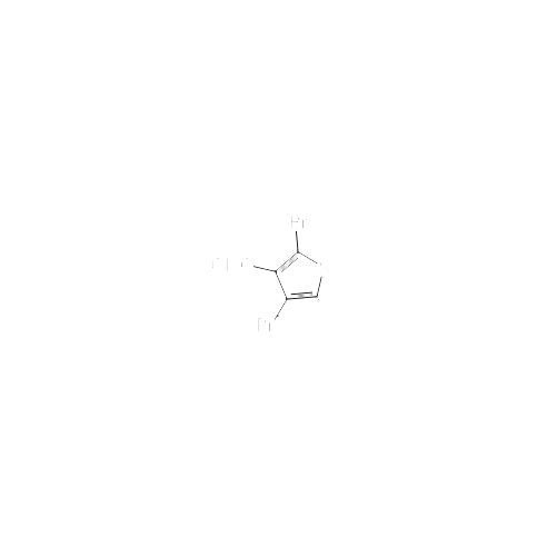 O=Cc1c(Br)csc1Br